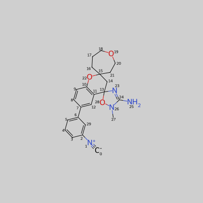 [C-]#[N+]c1cccc(-c2ccc3c(c2)C2(CC4(CCCOCC4)O3)N=C(N)N(C)O2)c1